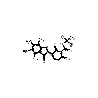 Cc1c(C)c(C)c2c(c1C)CN(C1CCC(=O)N(C(=O)OC(C)(C)C)C1=O)C2=O